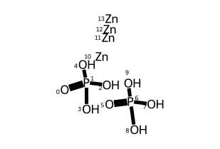 O=P(O)(O)O.O=P(O)(O)O.[Zn].[Zn].[Zn].[Zn]